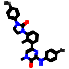 CC(=O)c1ccc(Nc2nc(-c3cccc(N4CCN(c5ccc(C(C)(C)C)cc5)C4=O)c3C)cn(C)c2=O)cc1